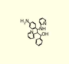 Nc1ccc(C(Nc2ccccn2)C(c2ccccn2)C(O)c2ccccc2)cc1